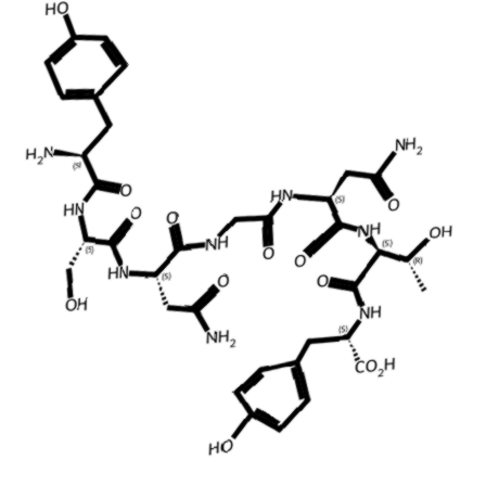 C[C@@H](O)[C@H](NC(=O)[C@H](CC(N)=O)NC(=O)CNC(=O)[C@H](CC(N)=O)NC(=O)[C@H](CO)NC(=O)[C@@H](N)Cc1ccc(O)cc1)C(=O)N[C@@H](Cc1ccc(O)cc1)C(=O)O